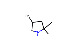 CC(C)C1CNC(C)(C)C1